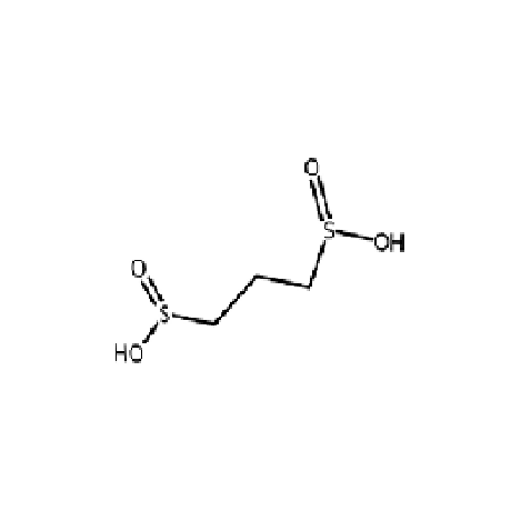 O=S(O)CCCS(=O)O